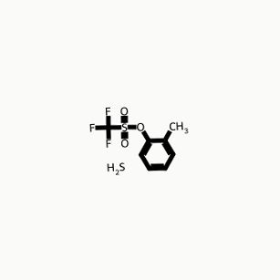 Cc1ccccc1OS(=O)(=O)C(F)(F)F.S